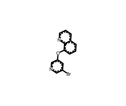 Brc1cncc(Oc2cccc3cccnc23)c1